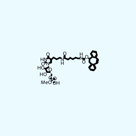 COP(=O)(O)OC[C@H]1O[C@@H](n2cc(CCCNC(=O)CCCCCNC(=O)OC3Cc4ccccc4C#Cc4ccccc43)c(=O)[nH]c2=O)C(O)[C@H]1O